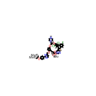 COCC(COC)Oc1ccc(-c2nccc(COc3ccc4cc3C[C@H](C(=O)OC(C)(C)C)Oc3ncnc5sc(-c6ccc(F)cc6)c(c35)-c3c(C)c(Cl)c(c(Cl)c3C)O[C@H](CN3CCN(C)CC3)CO4)n2)cc1